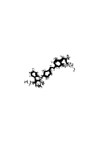 Nc1nc2cc(CCC3CCC(n4c5ccccc5c5c(N)ncnc54)C3)ccc2cc1Br